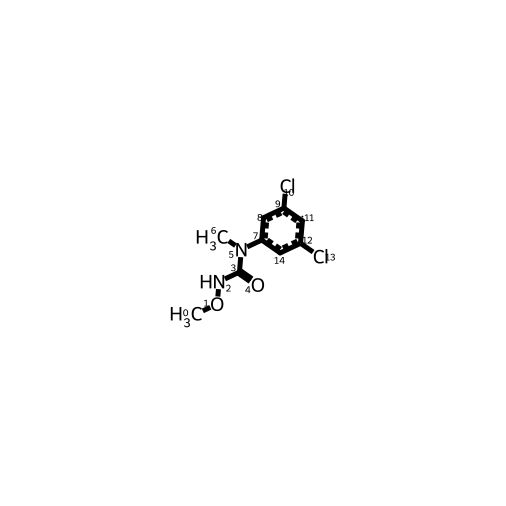 CONC(=O)N(C)c1cc(Cl)[c]c(Cl)c1